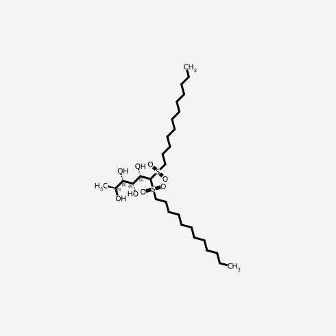 CCCCCCCCCCCCS(=O)(=O)C([C@@H](O)[C@H](O)[C@@H](O)[C@H](C)O)S(=O)(=O)CCCCCCCCCCCC